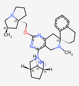 C[C@H]1CN2CCC[C@@]2(COc2nc3c(c(N4C[C@H]5CC[C@@H](C4)[C@@H]5N)n2)CN(C)[C@@]2(CCCc4ccccc42)C3)C1